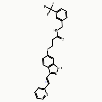 O=C(CCSc1ccc2c(/C=C/c3ccccn3)n[nH]c2c1)NCc1cccc(C(F)(F)F)c1